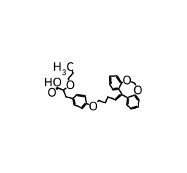 CCCOC(Cc1ccc(OCCCC=C2c3ccccc3OCOc3ccccc32)cc1)C(=O)O